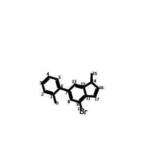 Cc1ccccc1-c1cc(Br)c2c(c1)C(C)C=C2